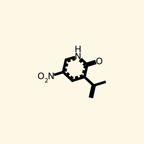 C=C(C)c1cc([N+](=O)[O-])c[nH]c1=O